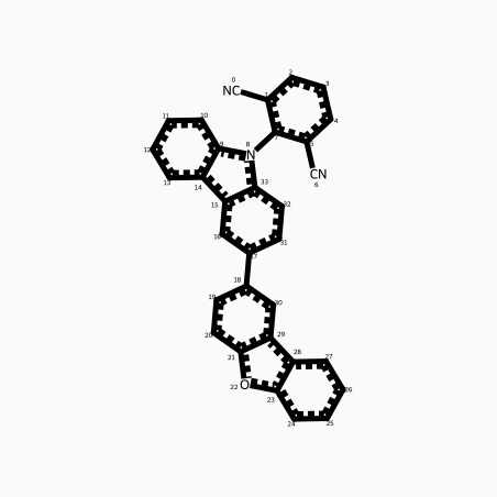 N#Cc1cccc(C#N)c1-n1c2ccccc2c2cc(-c3ccc4oc5ccccc5c4c3)ccc21